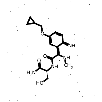 CN/C(C(=O)N[C@@H](CO)C(N)=O)=C1/C=C(OCC2CC2)C=CC1=N